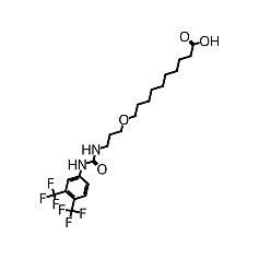 O=C(O)CCCCCCCCCOCCCNC(=O)Nc1ccc(C(F)(F)F)c(C(F)(F)F)c1